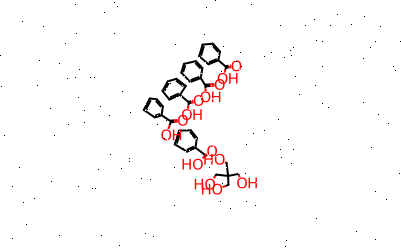 O=C(O)c1ccccc1.O=C(O)c1ccccc1.O=C(O)c1ccccc1.O=C(O)c1ccccc1.O=C(O)c1ccccc1.OCC(CO)(CO)CO